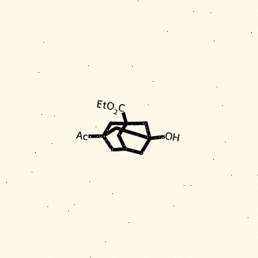 CCOC(=O)C12CC3CC(O)(CC(C(C)=O)(C3)C1)C2